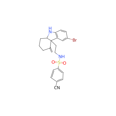 C=C1CCCC2Nc3ccc(Br)cc3C12CCNS(=O)(=O)c1ccc(C#N)cc1